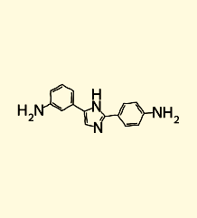 Nc1ccc(-c2ncc(-c3cccc(N)c3)[nH]2)cc1